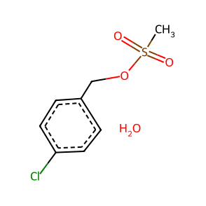 CS(=O)(=O)OCc1ccc(Cl)cc1.O